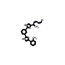 C=C(/C=C\C=C/CC)c1c[nH]c(-c2cccc(-c3nc(-c4ccccc4C)c[nH]3)c2)n1